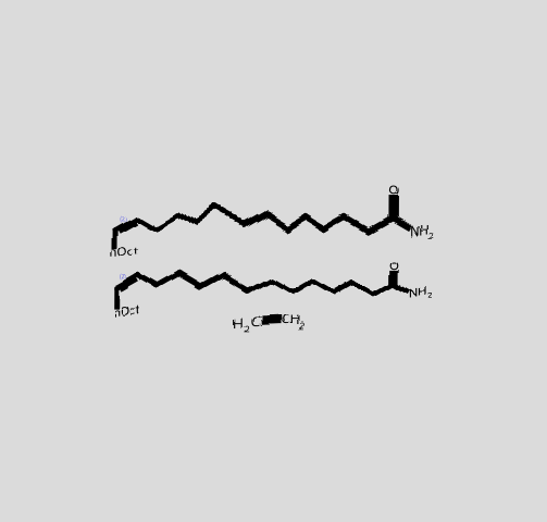 C=C.CCCCCCCC/C=C\CCCCCCCCCCCC(N)=O.CCCCCCCC/C=C\CCCCCCCCCCCC(N)=O